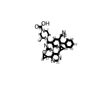 C[C@H]1CN(C(=O)O)CCN1c1nc(=O)n(-c2c(C3CC3)ncnc2C2CC2)c2nc(-c3ccccc3F)c(C#N)cc12